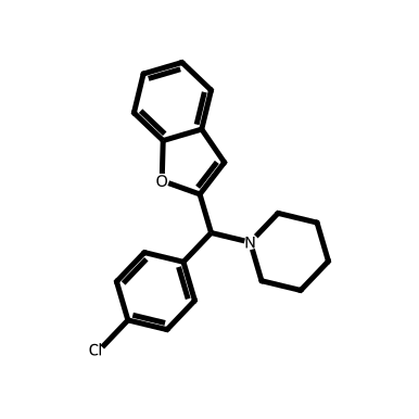 Clc1ccc(C(c2cc3ccccc3o2)N2CCCCC2)cc1